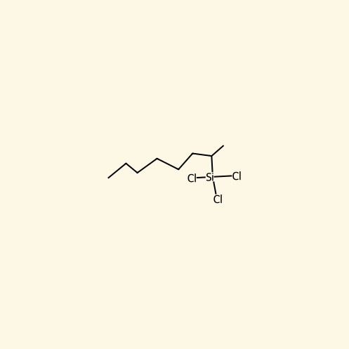 CCCCCCC(C)[Si](Cl)(Cl)Cl